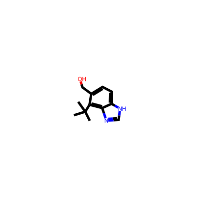 CC(C)(C)c1c(CO)ccc2[nH]cnc12